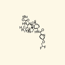 CC(C)(C)OC(=O)NC1=N[C@](C)(C2C=C(NC(=O)c3ccc(OCC(F)F)cn3)C=CC2F)[C@@H]2CCN=[S@]2(=O)C1(C)C